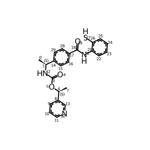 C[C@H](NC(=O)O[C@@H](C)c1cccnc1)c1ccc(C(=O)Nc2ccccc2S)cc1